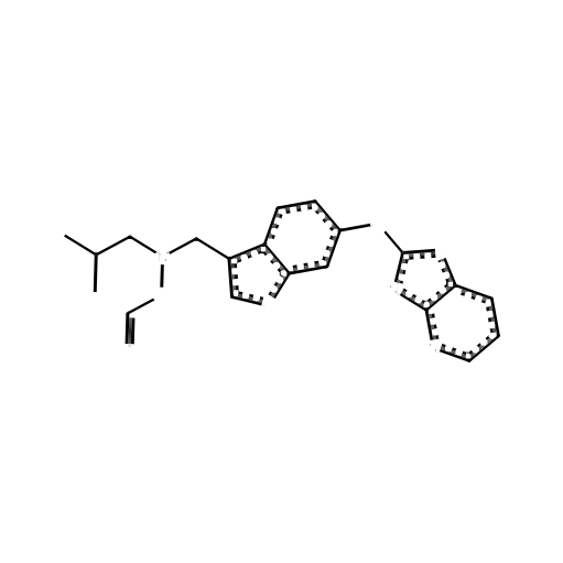 CC(C)CN(Cc1coc2cc(Oc3nc4ncccc4s3)ccc12)OC=O